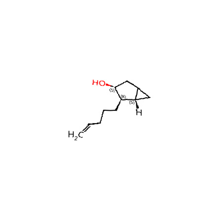 C=CCCC[C@H]1[C@@H](O)CC2C[C@@H]21